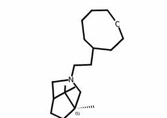 CC1(C)C2CC[C@]1(C)CN(CCC1CCCCCCC1)C2